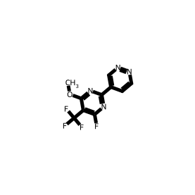 COc1nc(-c2ccnnc2)nc(F)c1C(F)(F)F